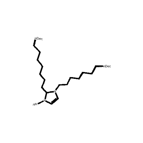 CCCCCCCCCCCCCCCCCC1N(CCC)C=CN1CCCCCCCCCCCCCCCCC